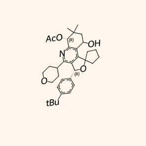 CC(=O)O[C@H]1c2nc(C3CCOCC3)c3c(c2C(O)CC1(C)C)C1(CCCC1)O[C@@H]3c1ccc(C(C)(C)C)cc1